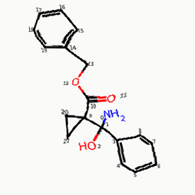 NC(O)(c1ccccc1)C1(C(=O)OCc2ccccc2)CC1